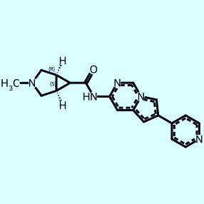 CN1C[C@@H]2C(C(=O)Nc3cc4cc(-c5ccncc5)cn4cn3)[C@@H]2C1